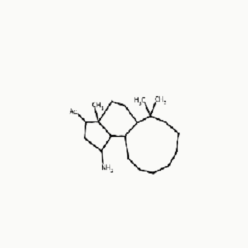 CC(=O)C1CC(N)C2C3CCCCCCCC(C)(C)C3CCC12C